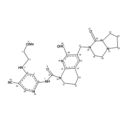 COCCNc1cc(NC(=O)N2CCCc3cc(CN4CCN5CCCC5C4=O)c(C=O)nc32)ncc1C#N